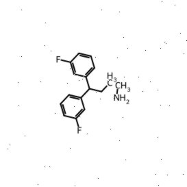 CCC(c1cccc(F)c1)c1cccc(F)c1.CN